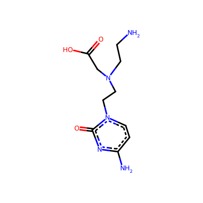 NCCN(CCn1ccc(N)nc1=O)CC(=O)O